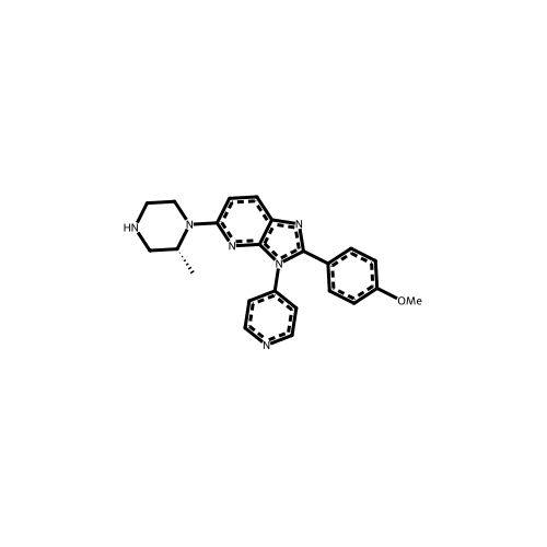 COc1ccc(-c2nc3ccc(N4CCNC[C@H]4C)nc3n2-c2ccncc2)cc1